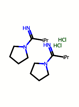 CC(C)C(=N)N1CCCC1.CC(C)C(=N)N1CCCC1.Cl.Cl